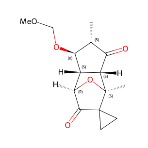 COCO[C@@H]1[C@H]2[C@H]3O[C@@](C)([C@H]2C(=O)[C@H]1C)C1(CC1)C3=O